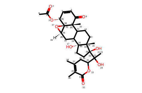 CC(=O)O[C@@H]1C=CC(=O)[C@]2(C)C3CC[C@@]4(C)[C@@](O)(CC[C@@]4(O)C(C)(O)C4CC(C)=C(C)C(=O)O4)C3C[C@H]3O[C@]132